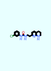 O=C(NCCc1ccc2c(n1)NCCC2)Nc1cccc(Cl)c1